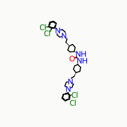 O=C(N[C@H]1CC[C@H](CCN2CCN(c3cccc(Cl)c3Cl)CC2)CC1)N[C@H]1CC[C@H](CCN2CCN(c3cccc(Cl)c3Cl)CC2)CC1